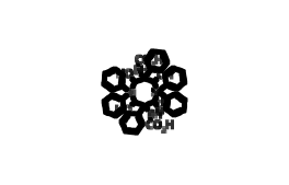 O=C(O)BC1(c2ccccc2)C(O)[Si](c2ccccc2)(c2ccccc2)C(O)C(BC(=O)O)(c2ccccc2)C(O)[Si](c2ccccc2)(c2ccccc2)C1O